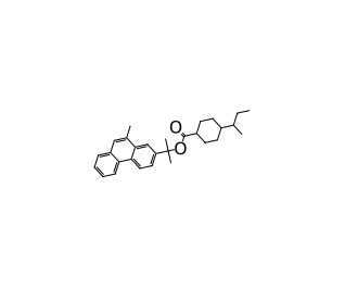 CCC(C)C1CCC(C(=O)OC(C)(C)c2ccc3c(c2)c(C)cc2ccccc23)CC1